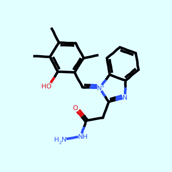 Cc1cc(C)c(C=[N+]2C(CC(=O)NN)=Nc3ccccc32)c(O)c1C